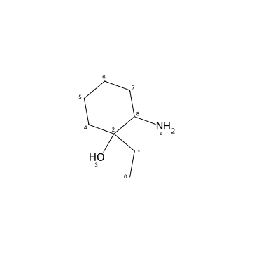 CCC1(O)CCCCC1N